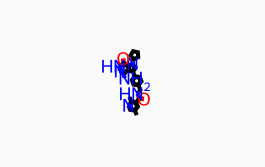 Cc1cnc(C)c(C(=O)NCc2ccc(-c3cn(C4CCCC4)c4c(=O)[nH]nc(N)c34)cc2)c1